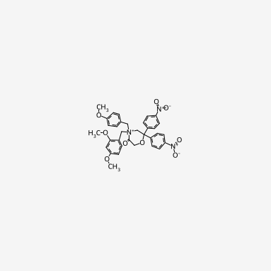 COc1ccc(C[N+]2(Cc3ccc(OC)cc3OC)CC(c3ccc([N+](=O)[O-])cc3)(c3ccc([N+](=O)[O-])cc3)OCC2=O)cc1